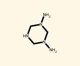 NN1[CH]NCN(N)C1